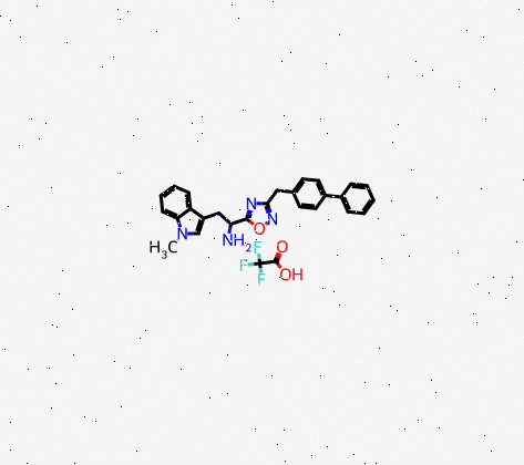 Cn1cc(CC(N)c2nc(Cc3ccc(-c4ccccc4)cc3)no2)c2ccccc21.O=C(O)C(F)(F)F